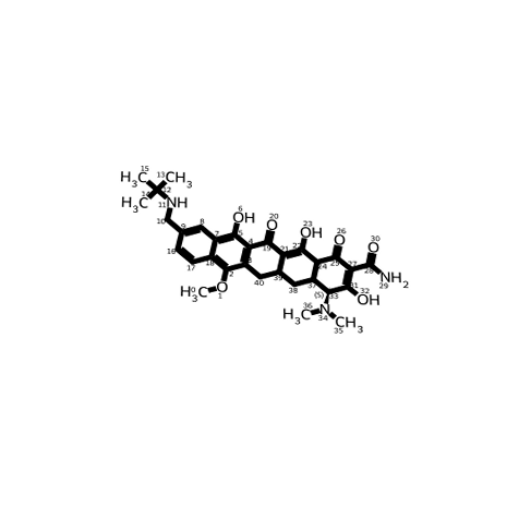 COc1c2c(c(O)c3cc(CNC(C)(C)C)ccc13)C(=O)C1=C(O)C3C(=O)C(C(N)=O)=C(O)[C@@H](N(C)C)C3CC1C2